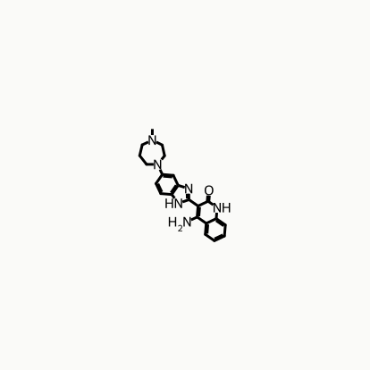 CN1CCCN(c2ccc3[nH]c(-c4c(N)c5ccccc5[nH]c4=O)nc3c2)CC1